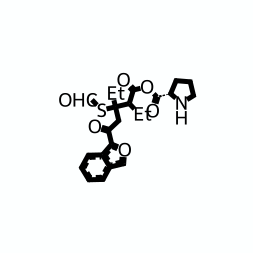 CCC(C(=O)OC(=O)[C@@H]1CCCN1)C(CC)(CC(=O)c1occ2ccccc12)SC=O